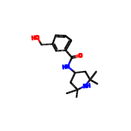 CC1(C)CC(NC(=O)c2cccc(CO)c2)CC(C)(C)N1